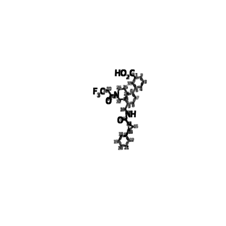 O=C(O)c1cccc(-c2ccc(CNC(=O)[C@H]3C[C@H]3c3ccccc3)c3c2CCN(C(=O)CC(F)(F)F)C3)c1